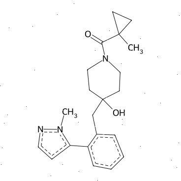 Cn1nccc1-c1ccccc1CC1(O)CCN(C(=O)C2(C)CC2)CC1